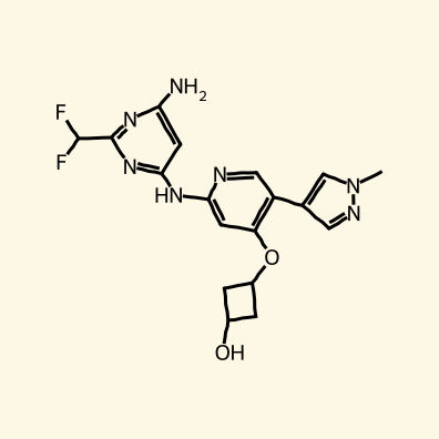 Cn1cc(-c2cnc(Nc3cc(N)nc(C(F)F)n3)cc2OC2CC(O)C2)cn1